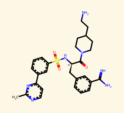 Cc1nccc(-c2cccc(S(=O)(=O)N[C@H](Cc3cccc(C(=N)N)c3)C(=O)N3CCC(CCN)CC3)c2)n1